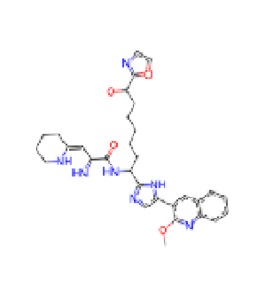 COc1nc2ccccc2cc1-c1cnc(C(CCCCCC(=O)c2ncco2)NC(=O)C(=N)/C=C2/CCCCN2)[nH]1